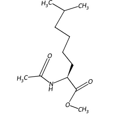 COC(=O)[C@H](CCCCC(C)C)NC(C)=O